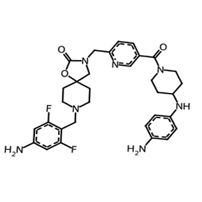 Nc1ccc(NC2CCN(C(=O)c3ccc(CN4CC5(CCN(Cc6c(F)cc(N)cc6F)CC5)OC4=O)nc3)CC2)cc1